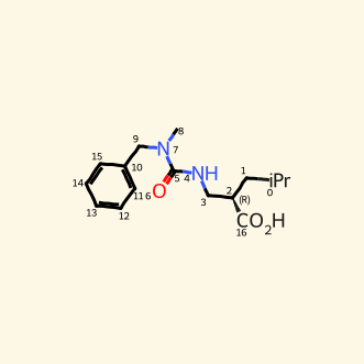 CC(C)C[C@H](CNC(=O)N(C)Cc1ccccc1)C(=O)O